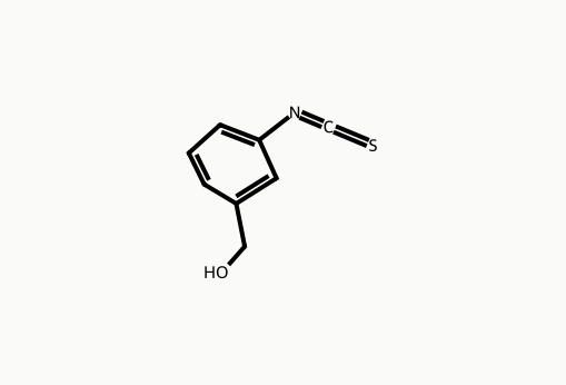 OCc1cccc(N=C=S)c1